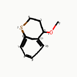 COC1CCSc2ccccc21